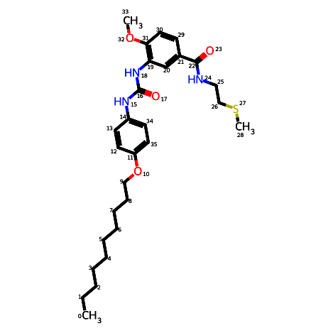 CCCCCCCCCCOc1ccc(NC(=O)Nc2cc(C(=O)NCCSC)ccc2OC)cc1